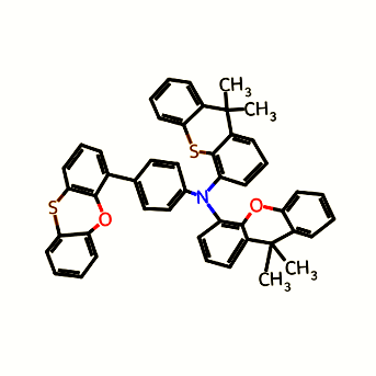 CC1(C)c2ccccc2Oc2c(N(c3ccc(-c4cccc5c4Oc4ccccc4S5)cc3)c3cccc4c3Sc3ccccc3C4(C)C)cccc21